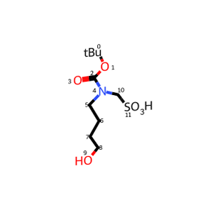 CC(C)(C)OC(=O)N(CCCCO)CS(=O)(=O)O